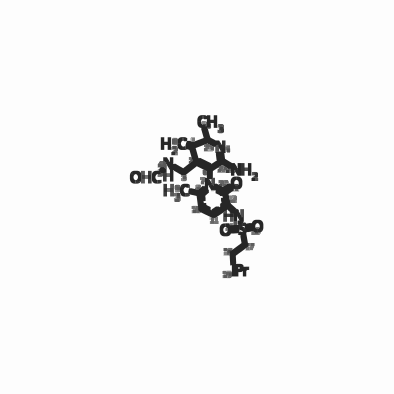 C=C1C(CNC=O)=C(n2c(C)ccc(NS(=O)(=O)CCC(C)C)c2=O)C(N)=NC1C